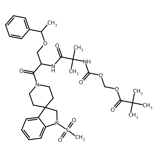 CC(OCC(NC(=O)C(C)(C)NC(=O)OCOC(=O)C(C)(C)C)C(=O)N1CCC2(CC1)CN(S(C)(=O)=O)c1ccccc12)c1ccccc1